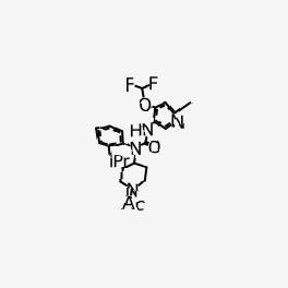 CC(=O)N1CCC(N(C(=O)Nc2cnc(C)cc2OC(F)F)c2ccccc2C(C)C)CC1